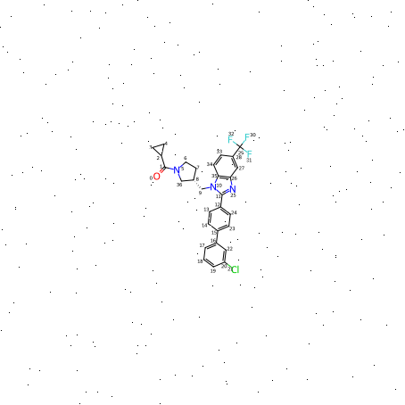 O=C(C1CC1)N1CC[C@H](Cn2c(-c3ccc(-c4cccc(Cl)c4)cc3)nc3cc(C(F)(F)F)ccc32)C1